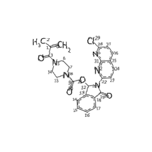 C=C(C)C(=O)N1CCN(C(=O)OC2c3ccccc3C(=O)N2c2ccc3ccc(Cl)nc3n2)CC1